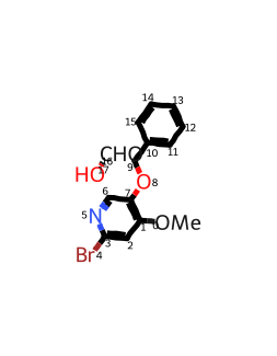 COc1cc(Br)ncc1OCc1ccccc1.O=CO